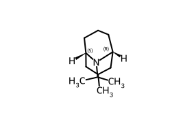 CC1C[C@H]2CCC[C@@H](C1)N2C(C)C